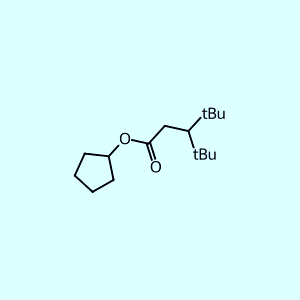 CC(C)(C)C(CC(=O)OC1CCCC1)C(C)(C)C